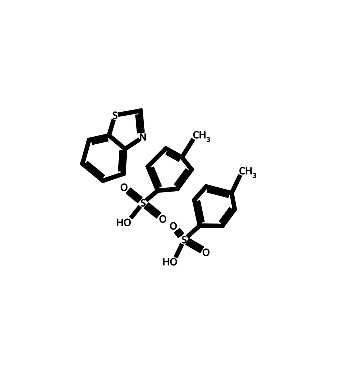 Cc1ccc(S(=O)(=O)O)cc1.Cc1ccc(S(=O)(=O)O)cc1.c1ccc2scnc2c1